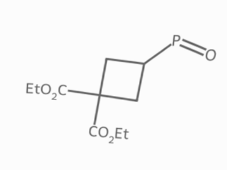 CCOC(=O)C1(C(=O)OCC)CC(P=O)C1